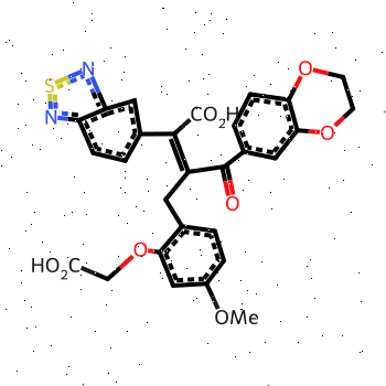 COc1ccc(CC(C(=O)c2ccc3c(c2)OCCO3)=C(C(=O)O)c2ccc3nsnc3c2)c(OCC(=O)O)c1